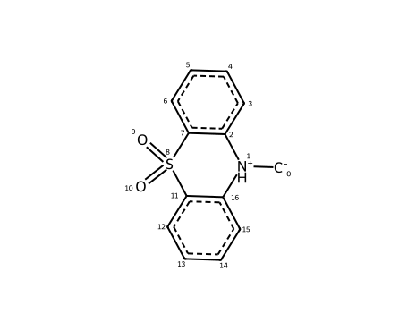 [CH2-][NH+]1c2ccccc2S(=O)(=O)c2ccccc21